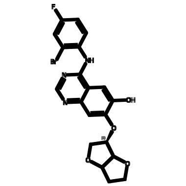 Oc1cc2c(Nc3ccc(F)cc3Br)ncnc2cc1O[C@@H]1COC2CCOC21